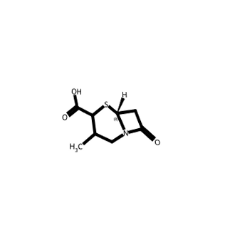 CC1CN2C(=O)C[C@H]2SC1C(=O)O